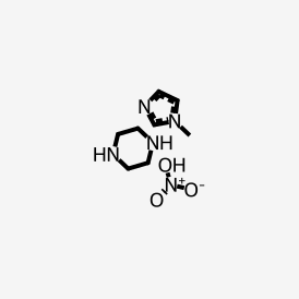 C1CNCCN1.Cn1ccnc1.O=[N+]([O-])O